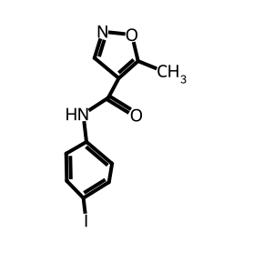 Cc1oncc1C(=O)Nc1ccc(I)cc1